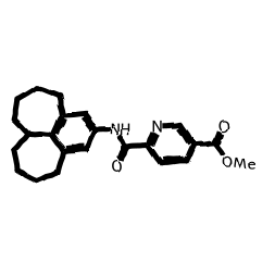 COC(=O)c1ccc(C(=O)Nc2cc3c4c(c2)CCCCC4CCCC3)nc1